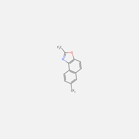 FC(F)(F)c1ccc2c(ccc3oc(C(F)(F)F)nc32)c1